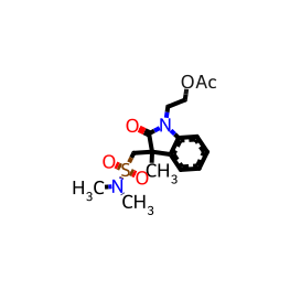 CC(=O)OCCN1C(=O)C(C)(CS(=O)(=O)N(C)C)c2ccccc21